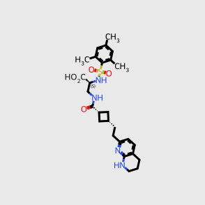 Cc1cc(C)c(S(=O)(=O)N[C@@H](CNC(=O)[C@H]2C[C@@H](CCc3ccc4c(n3)NCCC4)C2)C(=O)O)c(C)c1